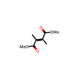 COC(=O)/C(C)=C(\C)C(=O)OC